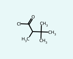 CC(C(=O)Cl)C(C)(C)C